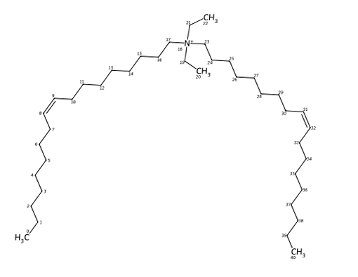 CCCCCCCC/C=C\CCCCCCCC[N+](CC)(CC)CCCCCCCC/C=C\CCCCCCCC